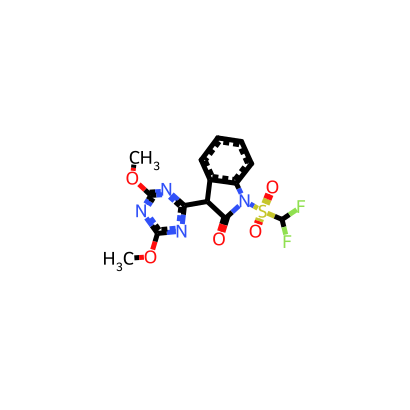 COc1nc(OC)nc(C2C(=O)N(S(=O)(=O)C(F)F)c3ccccc32)n1